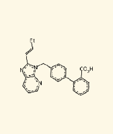 CCC=Cc1nc2cccnc2n1Cc1ccc(-c2ccccc2C(=O)O)cc1